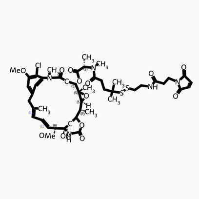 COc1cc2cc(c1Cl)N(C)C(=O)C[C@H](OC(=O)[C@H](C)N(C)C(=O)CCC(C)(C)SSCCNC(=O)CCN1C(=O)C=CC1=O)[C@]1(C)O[C@H]1[C@H](C)C1C[C@@](O)(NC(=O)O1)[C@H](OC)/C=C/C=C(\C)C2